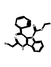 CCOC(=O)n1c(C(=O)c2ccccc2)c(NC(=O)CBr)c2ccccc21